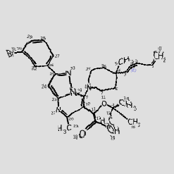 C=C/C=C/C1(C)CCN(c2c(C(OC(C)(C)C)C(=O)O)c(C)nc3cc(-c4cccc(Br)c4)nn23)CC1